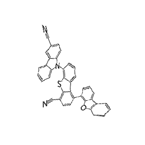 N#Cc1ccc2c(c1)c1ccccc1n2-c1cccc2c1sc1c(C#N)ccc(-c3cccc4c5c(oc34)CCC=C5)c12